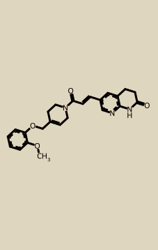 COc1ccccc1OCC1=CCN(C(=O)/C=C/c2cnc3c(c2)CCC(=O)N3)CC1